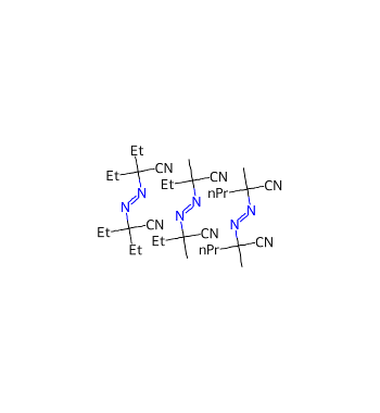 CCC(C#N)(CC)N=NC(C#N)(CC)CC.CCC(C)(C#N)N=NC(C)(C#N)CC.CCCC(C)(C#N)N=NC(C)(C#N)CCC